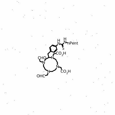 CCCCCNC(=S)Nc1ccc(CC2CN(CC=O)CCN(CC=O)CCN(CC(=O)O)CCN2CC(=O)O)cc1